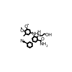 COc1cc(Nc2cccc(C(N)=O)c2NCCO)cc(C)c1OC.N#Cc1ccccc1